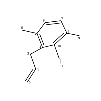 C=CCc1c(C)ccc(C)c1I